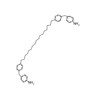 Nc1ccc(Cc2ccc(CCCCCCCCCCCCCCCCCc3ccc(Cc4ccc(N)cc4)cc3)cc2)cc1